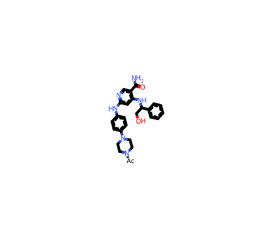 CC(=O)N1CCN(c2ccc(Nc3cc(NC(CO)c4ccccc4)c(C(N)=O)cn3)cc2)CC1